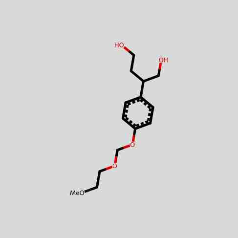 COCCOCOc1ccc(C(CO)CCO)cc1